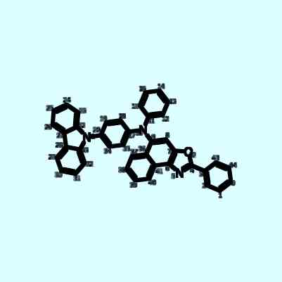 c1ccc(-c2nc3c(cc(N(c4ccccc4)c4ccc(-n5c6ccccc6c6ccccc65)cc4)c4ccccc43)o2)cc1